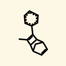 CC1=C(c2ccccc2)C2C3C=CC(C3)C12